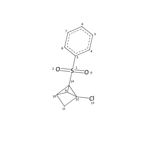 O=S(=O)(c1ccccc1)C1C2CC1(Cl)C2